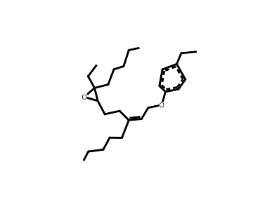 CCCCCC(=CCOc1ccc(CC)cc1)CCC1OC1(CC)CCCCC